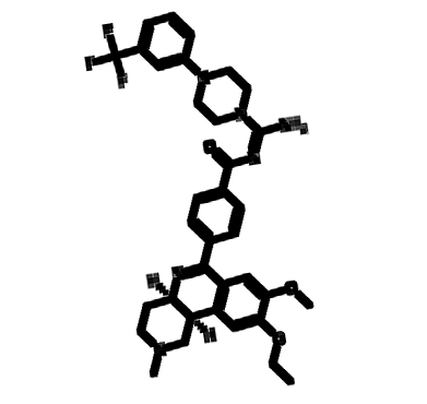 CCOc1cc2c(cc1OC)C(c1ccc(C(=O)/N=C(/N)N3CCN(c4cccc(C(F)(F)F)c4)CC3)cc1)=N[C@@H]1CCN(C)C[C@H]21